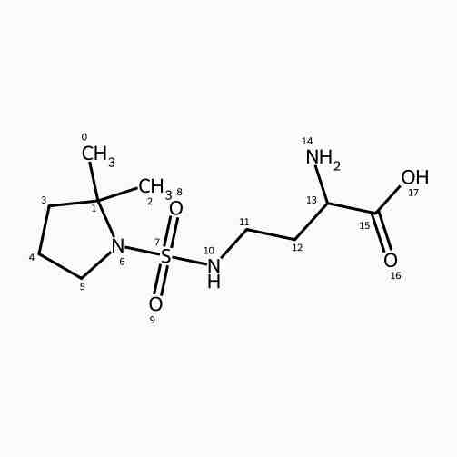 CC1(C)CCCN1S(=O)(=O)NCCC(N)C(=O)O